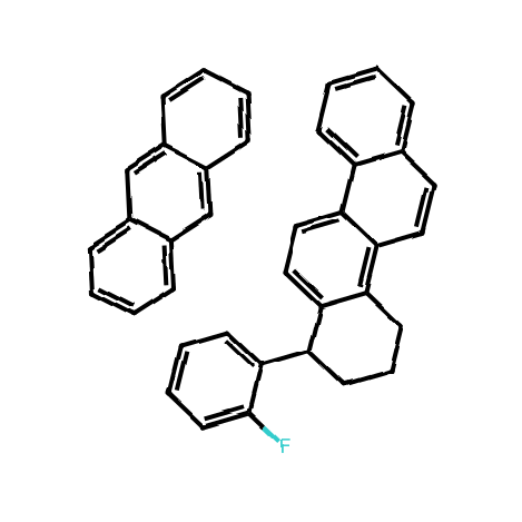 Fc1ccccc1C1CCCc2c1ccc1c2ccc2ccccc21.c1ccc2cc3ccccc3cc2c1